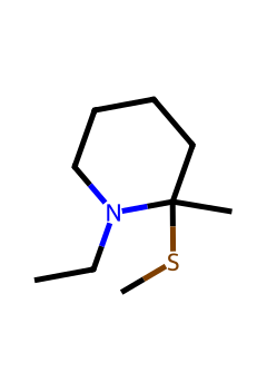 CCN1CCCCC1(C)SC